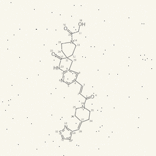 O=C(C=Cc1cnc2c(c1)CC1(CCN(C(=O)CO)CC1)C(=O)N2)N1CCC(=Cc2ccsn2)CC1